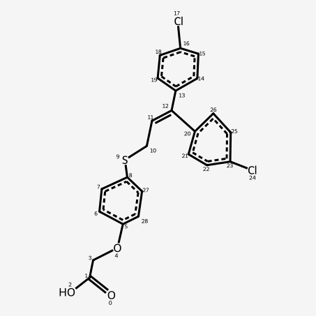 O=C(O)COc1ccc(SCC=C(c2ccc(Cl)cc2)c2ccc(Cl)cc2)cc1